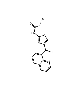 CC(C)(C)OC(=O)Nc1nc(C(O)c2cccc3cccnc23)cs1